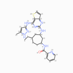 CCC1CCC(NC(=O)c2ccccn2)CC(Nc2nc(Nc3cc(C)[nH]n3)c3sccc3n2)C1